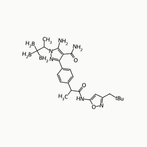 BC(B)(B)C(C)n1nc(-c2ccc(C(C)C(=O)Nc3cc(CC(C)(C)C)no3)cc2)c(C(N)=O)c1N